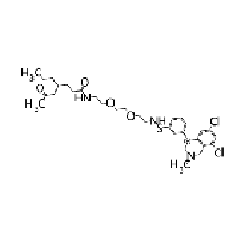 CCCC(CCC(=O)NCCOCCOCCNSc1cccc([C@@H]2CN(C)Cc3c(Cl)cc(Cl)cc32)c1)CC(C)=O